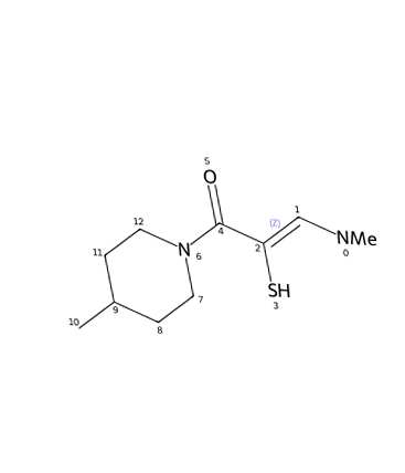 CN/C=C(\S)C(=O)N1CCC(C)CC1